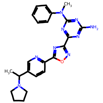 CC(c1ccc(-c2nc(-c3nc(N)nc(N(C)c4ccccc4)n3)no2)nc1)N1CCCC1